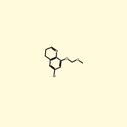 COCOc1cc(Br)cc2c1N=CCC2